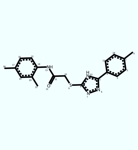 Cc1ccc(-c2nnc(SCC(=O)Nc3ccc(C)cc3C)[nH]2)cc1